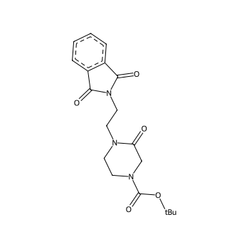 CC(C)(C)OC(=O)N1CCN(CCN2C(=O)c3ccccc3C2=O)C(=O)C1